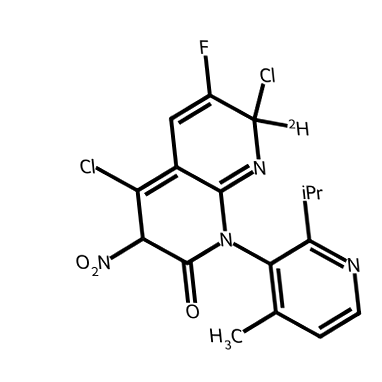 [2H]C1(Cl)N=C2C(=C(Cl)C([N+](=O)[O-])C(=O)N2c2c(C)ccnc2C(C)C)C=C1F